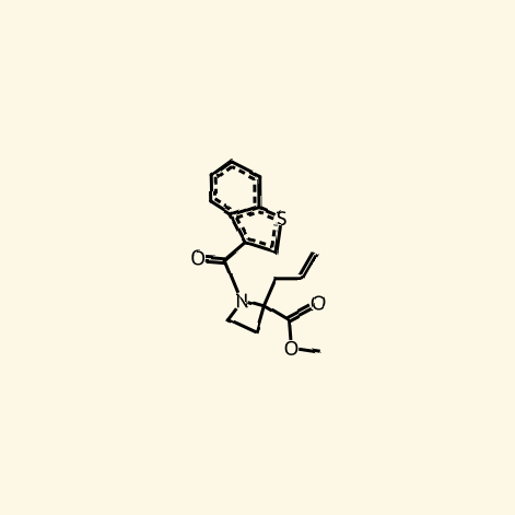 C=CCC1(C(=O)OC)CCN1C(=O)c1csc2ccccc12